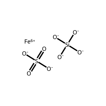 O=S(=O)([O-])[O-].[Fe+6].[O-][Si]([O-])([O-])[O-]